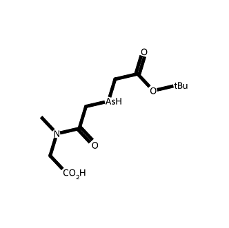 CN(CC(=O)O)C(=O)C[AsH]CC(=O)OC(C)(C)C